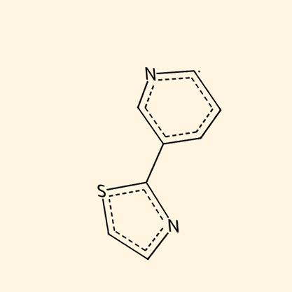 [c]1ccc(-c2nccs2)cn1